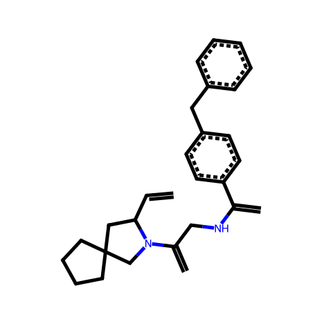 C=CC1CC2(CCCC2)CN1C(=C)CNC(=C)c1ccc(Cc2ccccc2)cc1